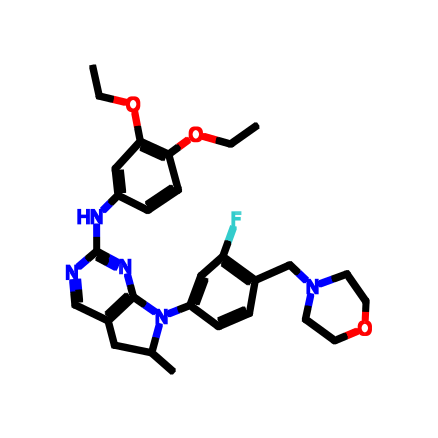 CCOc1ccc(Nc2ncc3c(n2)N(c2ccc(CN4CCOCC4)c(F)c2)C(C)C3)cc1OCC